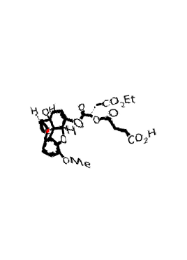 CCOC(=O)C[C@H](OC(=O)CCC(=O)O)C(=O)OC1=CC[C@@]2(O)[C@@H]3CCC[C@@]24c2c(ccc(OC)c2O[C@@H]14)C3